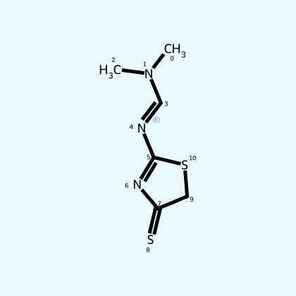 CN(C)/C=N/C1=NC(=S)CS1